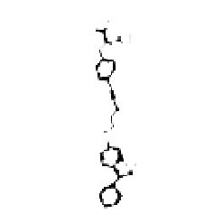 CO[C@@H](Cc1ccc(C#CCCCOc2ccc3c(-c4ccc(F)cc4)coc3c2)cc1)C(=O)O